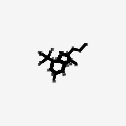 CCCc1nc2c(C(F)(F)F)cc(C)nc2n1C